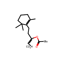 CC1=C(CCC(=CC(=O)O)OC(=O)C(C)(C)C)C(C)(C)CCC1